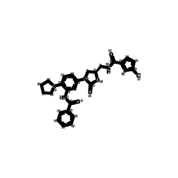 O=C(Nc1cc(N2C[C@@H](CNC(=O)c3ccc(Cl)s3)OC2=O)ccc1N1CCCC1)c1ccccc1